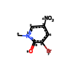 Cn1cc([N+](=O)[O-])cc(Br)c1=O